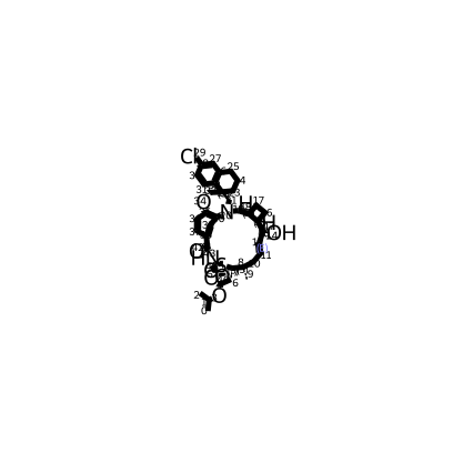 CC(C)OC(=O)C[C@H]1[C@@H](C)C/C=C/[C@H](O)[C@@H]2CC[C@H]2CN2C[C@@]3(CCCc4cc(Cl)ccc43)COc3ccc(cc32)C(=O)NS1(=O)=O